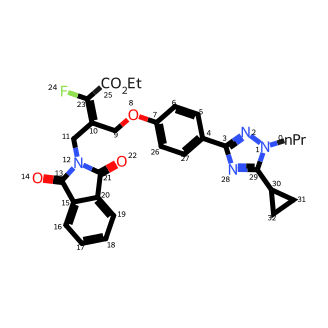 CCCn1nc(-c2ccc(OC/C(CN3C(=O)c4ccccc4C3=O)=C(/F)C(=O)OCC)cc2)nc1C1CC1